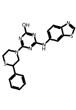 Oc1nc(Nc2ccc3ncsc3c2)nc(N2CCSC(c3ccccc3)C2)n1